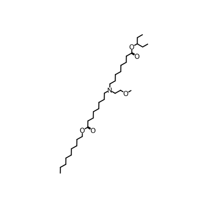 CCCCCCCCCOC(=O)CCCCCCCN(CCCCCCCC(=O)OC(CC)CC)CCOC